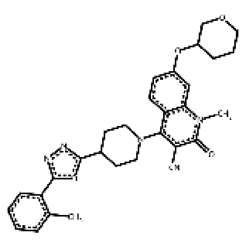 Cc1ccccc1-c1nnc(C2CCN(c3c(C#N)c(=O)n(C)c4cc(OC5CCCOC5)ccc34)CC2)o1